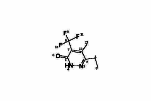 CCc1n[nH]c(=O)c(C(F)(F)F)c1C